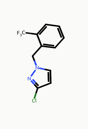 FC(F)(F)c1ccccc1Cn1ccc(Cl)n1